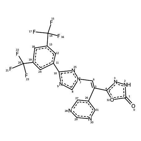 O=c1[nH]nc(/C(=C/n2cnc(-c3cc(C(F)(F)F)cc(C(F)(F)F)c3)n2)c2cncnc2)o1